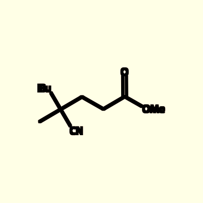 CCC(C)C(C)(C#N)CCC(=O)OC